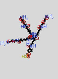 CP(=O)(S)OC1CCC(C(=O)NCCCCC(C(=O)NCCCCCC(=O)NCCOCCON)N(CC(=O)NCCCCCC(=O)NCCOCCON)CC(=O)NCCCCCC(=O)NCCOCCON)CC1